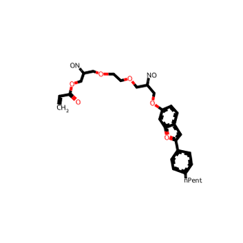 C=CC(=O)OCC(COCCOCC(COc1ccc2cc(-c3ccc(CCCCC)cc3)oc2c1)N=O)N=O